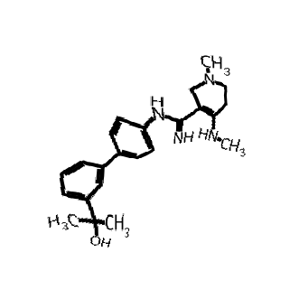 CNC1=C(C(=N)Nc2ccc(-c3cccc(C(C)(C)O)c3)cc2)CN(C)CC1